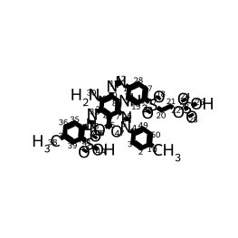 Cc1ccc(N=Nc2c(N)c(/N=N\c3ccc(S(=O)(=O)CCOS(=O)(=O)O)cc3)c(N)c(N=Nc3ccc(C)cc3S(=O)(=O)O)c2C(=O)O)cc1